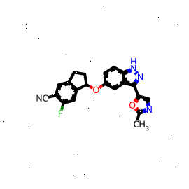 Cc1ncc(-c2n[nH]c3ccc(OC4CCc5cc(C#N)c(F)cc54)cc23)o1